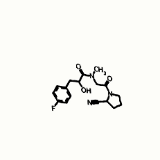 CN(CC(=O)N1CCCC1C#N)C(=O)C(O)Cc1ccc(F)cc1